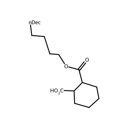 CCCCCCCCCCCCCCOC(=O)C1CCCCC1C(=O)O